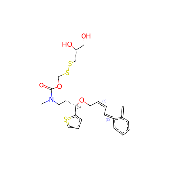 C=c1cccc/c1=C/C=C\CO[C@@H](CCN(C)C(=O)OCSSCC(O)CO)c1cccs1